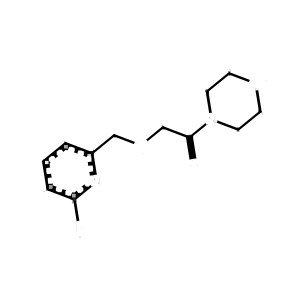 O=C(COCc1cccc(Br)n1)N1CCOCC1